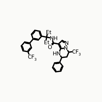 CCC(CC)(NC(=O)c1cnn2c1NC(c1ccccc1)CC2C(F)(F)F)c1cccc(-c2cccc(C(F)(F)F)c2)c1